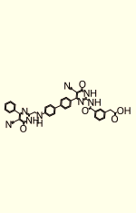 N#Cc1c(-c2ccccc2)nc(CNc2ccc(-c3ccc(-c4nc(NC(=O)c5cccc(CC(=O)O)c5)[nH]c(=O)c4C#N)cc3)cc2)[nH]c1=O